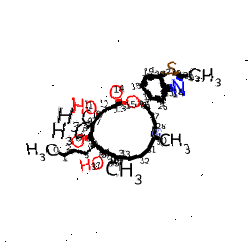 CCCC[C@H]1C(=O)C(C)(C)[C@@H](O)CC(=O)O[C@H](c2ccc3sc(C)nc3c2)C/C=C(/C)CCC[C@H](C)[C@@H]1O